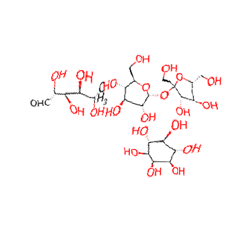 C[C@H](O)[C@H](O)[C@@H](O)[C@@H](O)C=O.OC[C@H]1O[C@@](CO)(O[C@H]2O[C@H](CO)[C@@H](O)[C@H](O)[C@H]2O)[C@@H](O)[C@@H]1O.O[C@H]1[C@H](O)[C@@H](O)[C@H](O)[C@@H](O)[C@H]1O